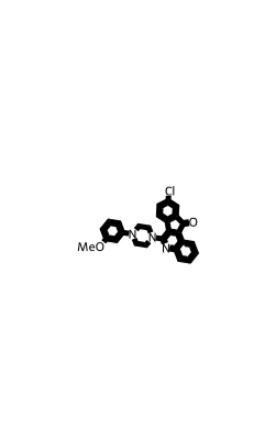 COc1cccc(N2CCN(c3nc4ccccc4c4c3-c3ccc(Cl)cc3C4=O)CC2)c1